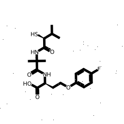 CC(C)[C@H](S)C(=O)NC(C)(C)C(=O)N[C@@H](CCOc1ccc(F)cc1)C(=O)O